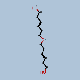 OCCC=CCCOCCC=CCCO